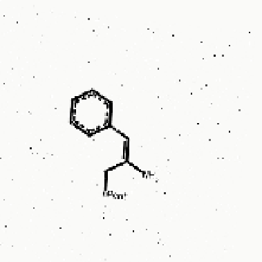 CCCCCC/C(N)=C\c1ccccc1